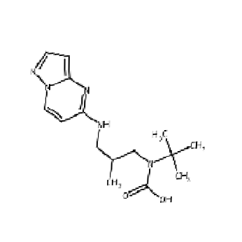 CC(CNc1ccn2nccc2n1)CN(C(=O)O)C(C)(C)C